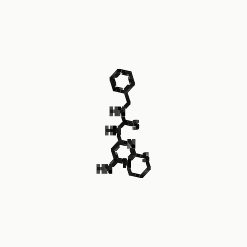 N=c1cc(NC(=S)NCc2ccccc2)nc2n1CCCS2